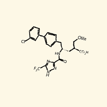 COC[C@H](C[C@@H](Cc1ccc(-c2cccc(Cl)c2)cc1)NC(=O)c1n[nH]c(C(F)(F)F)n1)C(=O)O